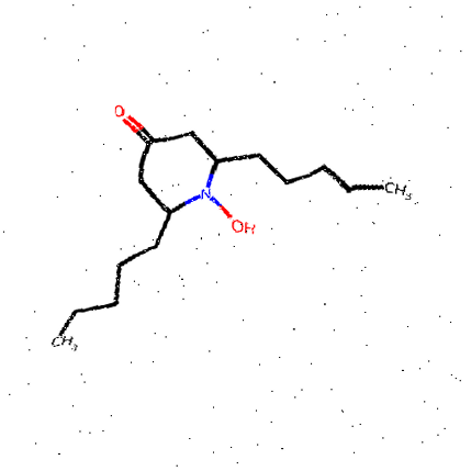 CCCCCC1CC(=O)CC(CCCCC)N1O